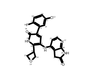 O=C1Cc2c(Nc3cc(-c4cc(Cl)ccc4F)c(=O)[nH]c3C3COC3)ccnc2N1